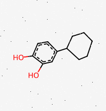 Oc1ccc(C2CCCCC2)cc1O